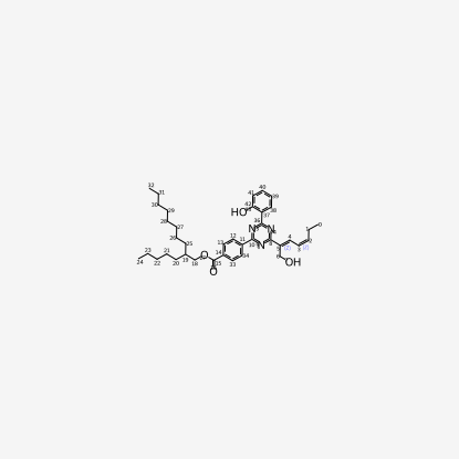 CC/C=C\C=C(/CO)c1nc(-c2ccc(C(=O)OCC(CCCCC)CCCCCCCC)cc2)nc(-c2ccccc2O)n1